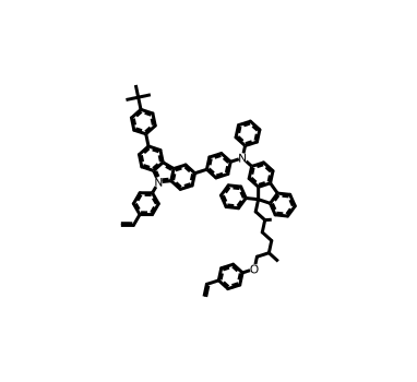 C=Cc1ccc(OCC(C)CCC(C)CC2(c3ccccc3)c3ccccc3-c3ccc(N(c4ccccc4)c4ccc(-c5ccc6c(c5)c5cc(-c7ccc(C(C)(C)C)cc7)ccc5n6-c5ccc(C=C)cc5)cc4)cc32)cc1